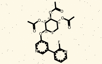 CC(=O)O[C@@H]1[C@@H](OC(C)=O)[C@H](OC(C)=O)CS[C@H]1Oc1cncc(-c2cccnc2F)c1